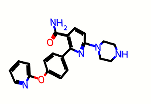 NC(=O)c1ccc(N2CCNCC2)nc1-c1ccc(Oc2ccccn2)cc1